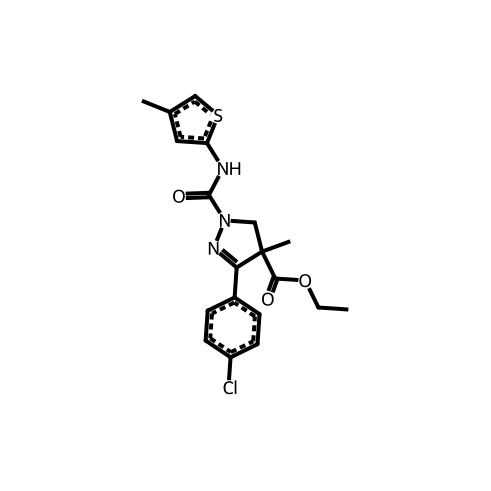 CCOC(=O)C1(C)CN(C(=O)Nc2cc(C)cs2)N=C1c1ccc(Cl)cc1